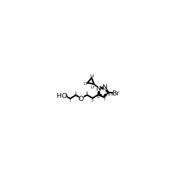 OCCOCCc1cc(Br)nn1C1CC1